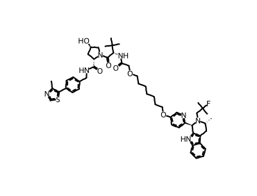 Cc1ncsc1-c1ccc(CNC(=O)[C@@H]2C[C@@H](O)CN2C(=O)[C@@H](NC(=O)COCCCCCCCOc2ccc([C@@H]3c4[nH]c5ccccc5c4C[C@@H](C)N3CC(C)(C)F)nc2)C(C)(C)C)cc1